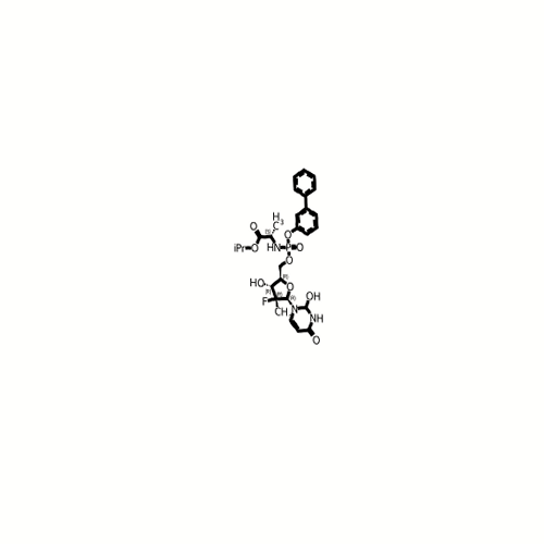 CC(C)OC(=O)[C@H](C)NP(=O)(OC[C@H]1O[C@@H](N2C=CC(=O)NC2O)[C@](C)(F)[C@@H]1O)Oc1cccc(-c2ccccc2)c1